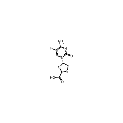 Nc1nc(=O)n([C@@H]2CSC(C(=O)O)O2)cc1F